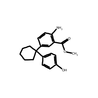 COC(=O)c1cc(C2(c3ccc(O)cc3)CCCCC2)ccc1N